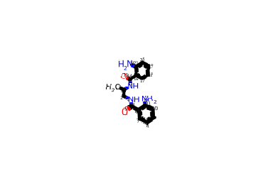 CC(CNC(=O)c1ccccc1N)NC(=O)c1ccccc1N